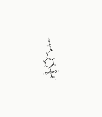 NS(=O)(=O)c1ccc(CN=C=S)cc1